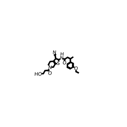 CCOc1cccc(C(C)CC(=O)NC2SC3=C(CCN(C(=O)CCO)C3)C2C#N)c1